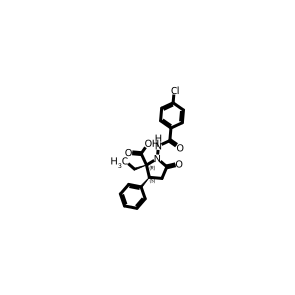 CC[C@]1(C(=O)O)[C@H](c2ccccc2)CC(=O)N1NC(=O)c1ccc(Cl)cc1